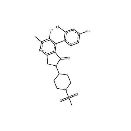 CCc1c(C)nc2c(c1-c1ccc(Cl)cc1Cl)C(=O)N(C1CCN(S(C)(=O)=O)CC1)C2